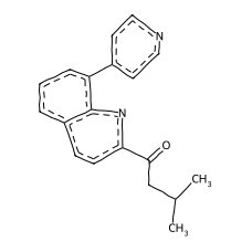 CC(C)CC(=O)c1ccc2cccc(-c3ccncc3)c2n1